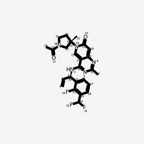 C=C[C@@H](Nc1nc(C)nc2cc(=O)n([C@@]3(C)CCN(C(C)=O)C3)cc12)c1cccc(C(F)F)c1F